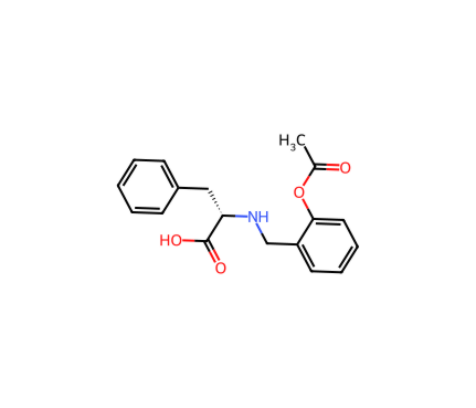 CC(=O)Oc1ccccc1CN[C@@H](Cc1ccccc1)C(=O)O